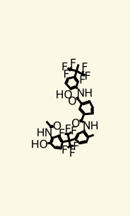 CC(=O)Nc1cc(C(c2ccc(C)c(NC(=O)c3cccc(C(=O)Nc4cc(C(C)(C(F)(F)F)C(F)(F)F)ccc4O)c3)c2)(C(F)(F)F)C(F)(F)F)ccc1O